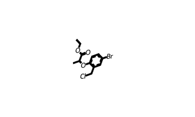 CCOC(=O)C(C)Oc1ccc(Br)cc1CCl